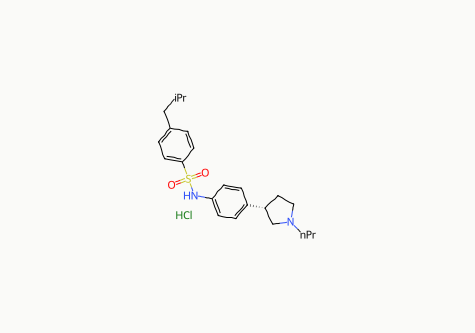 CCCN1CC[C@@H](c2ccc(NS(=O)(=O)c3ccc(CC(C)C)cc3)cc2)C1.Cl